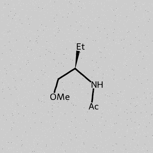 CC[C@H](COC)NC(C)=O